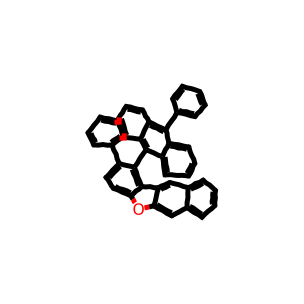 c1ccc(-c2ccc3oc4cc5ccccc5cc4c3c2-c2c3ccccc3c(-c3ccccc3)c3ccccc23)cc1